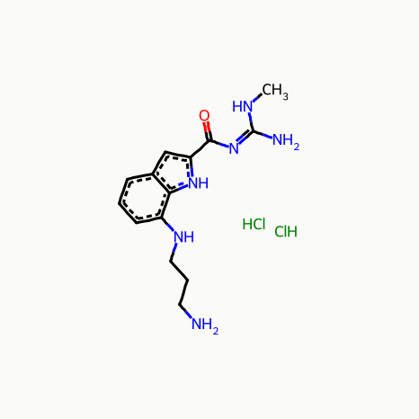 CNC(N)=NC(=O)c1cc2cccc(NCCCN)c2[nH]1.Cl.Cl